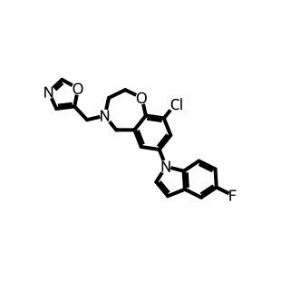 Fc1ccc2c(ccn2-c2cc(Cl)c3c(c2)CN(Cc2cnco2)CCO3)c1